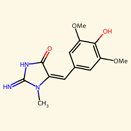 COc1cc(/C=C2\C(=O)NC(=N)N2C)cc(OC)c1O